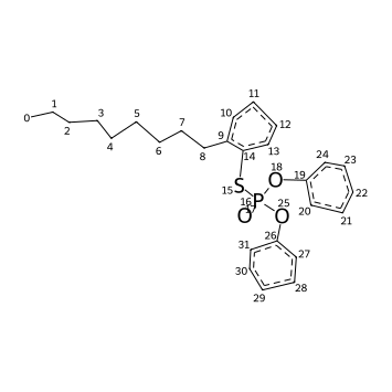 CCCCCCCCCc1ccccc1SP(=O)(Oc1ccccc1)Oc1ccccc1